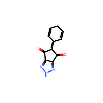 O=C1C(=C2C=CCC=C2)C(=O)c2n[nH]nc21